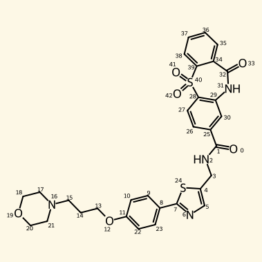 O=C(NCc1cnc(-c2ccc(OCCCN3CCOCC3)cc2)s1)c1ccc2c(c1)NC(=O)c1ccccc1S2(=O)=O